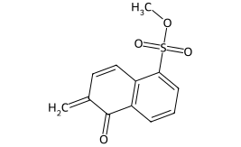 C=C1C=Cc2c(cccc2S(=O)(=O)OC)C1=O